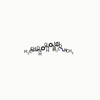 C=N/C=C\C=C(/C)Oc1cc(Nc2cccc(NC(=O)c3ccc(NC(=O)/C=C/CN(C)C)cc3)c2)ncn1